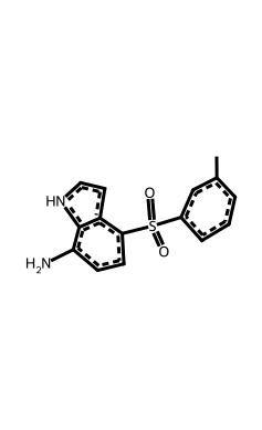 Cc1cccc(S(=O)(=O)c2ccc(N)c3[nH]ccc23)c1